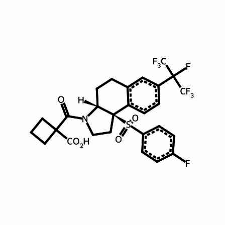 O=C(O)C1(C(=O)N2CC[C@@]3(S(=O)(=O)c4ccc(F)cc4)c4ccc(C(F)(C(F)(F)F)C(F)(F)F)cc4CC[C@@H]23)CCC1